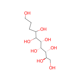 OCCCC(O)C(O)[C@H](O)[C@@H](O)[C@H](O)[C@H](O)CO